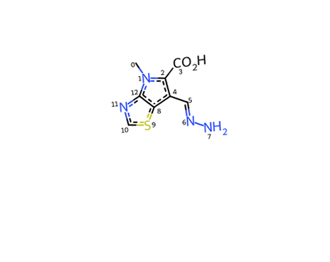 Cn1c(C(=O)O)c(C=NN)c2scnc21